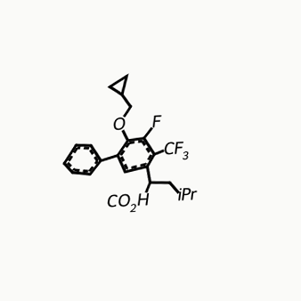 CC(C)CC(C(=O)O)c1cc(-c2ccccc2)c(OCC2CC2)c(F)c1C(F)(F)F